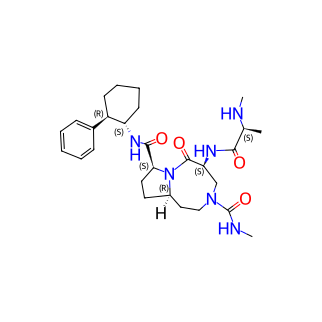 CNC(=O)N1CC[C@H]2CC[C@@H](C(=O)N[C@H]3CCCC[C@@H]3c3ccccc3)N2C(=O)[C@@H](NC(=O)[C@H](C)NC)C1